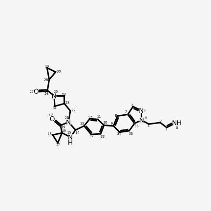 N=CCCn1ncc2cc(-c3ccc(C4NC5(CC5)C(=O)N4CC4CN(C(=O)C5CC5)C4)cc3)ccc21